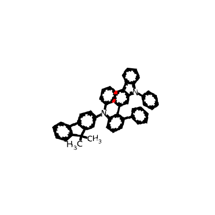 CC1(C)c2ccccc2-c2ccc(N(c3ccccc3)c3cccc(-c4ccccc4)c3-c3ccc4c5ccccc5n(-c5ccccc5)c4c3)cc21